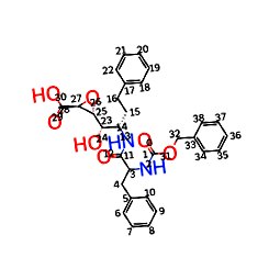 O=C(NC(Cc1ccccc1)C(=O)N[C@@H](CCc1ccccc1)[C@H](O)[C@H]1O[C@@H]1C(=O)O)OCc1ccccc1